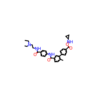 CCN(CC)CCNC(=O)c1ccc(NC(=O)c2ccc(C)c(-c3ccc(C(=O)ONC4CC4)cc3)c2)cc1